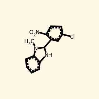 CN1c2ccccc2NC1c1cc(Cl)ccc1[N+](=O)[O-]